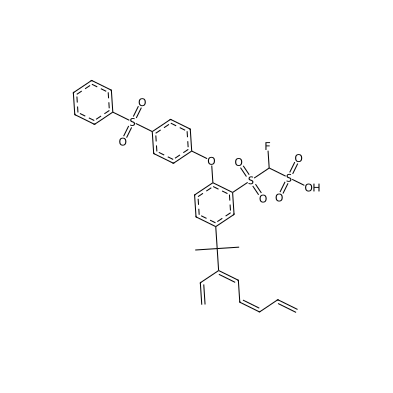 C=C/C=C\C=C(/C=C)C(C)(C)c1ccc(Oc2ccc(S(=O)(=O)c3ccccc3)cc2)c(S(=O)(=O)C(F)S(=O)(=O)O)c1